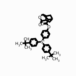 CC(C)(C)c1ccc([S+](c2ccc(OC(=O)C3C4CC5C(=O)OC3C5C4)cc2)c2ccc(C(C)(C)C)cc2)cc1